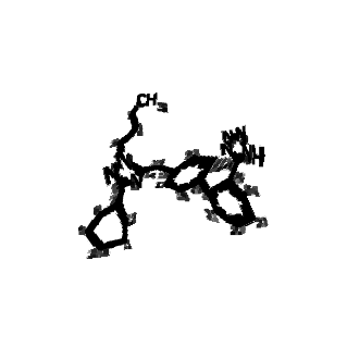 CC=CCn1nc(C2CCCCC2)nc1Cc1ccc(-c2ccccc2-c2nnn[nH]2)cc1